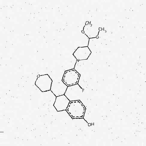 COC(OC)C1CCN(c2ccc(C3c4ccc(O)cc4CCC3C3CCOCC3)c(F)c2)CC1